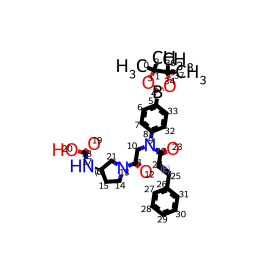 CC1(C)OB(c2ccc(N(CC(=O)N3CC[C@H](NC(=O)O)C3)C(=O)/C=C/c3ccccc3)cc2)OC1(C)C